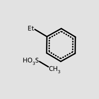 CCc1ccccc1.CS(=O)(=O)O